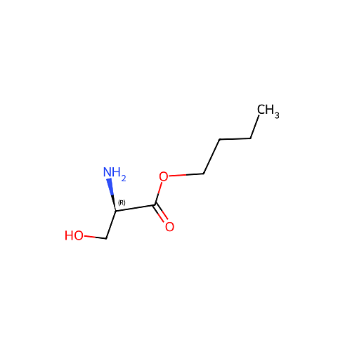 CCCCOC(=O)[C@H](N)CO